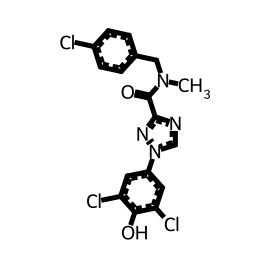 CN(Cc1ccc(Cl)cc1)C(=O)c1ncn(-c2cc(Cl)c(O)c(Cl)c2)n1